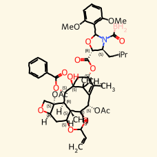 BC(=O)N1C(c2c(OC)cccc2OC)O[C@@H](C(=O)O[C@H]2C[C@@]3(O)[C@@H](OC(=O)c4ccccc4)[C@@H]4[C@]5(OC(C)=O)CO[C@@H]5C[C@@H]5OC(C=C)O[C@@H]([C@@H](OC(C)=O)C(=C2C)C3(C)C)[C@]54C)[C@@H]1CC(C)C